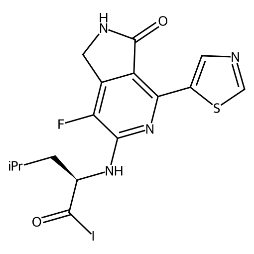 CC(C)C[C@@H](Nc1nc(-c2cncs2)c2c(c1F)CNC2=O)C(=O)I